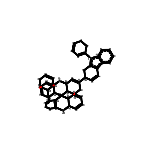 C1=CCCC(n2c3c(c4ccccc42)C=CC(C2=CC4SC5=CC=CCC5C5(C6=C(CCC=C6C6CC=CCC6)SC6C=CC=CC65)C4CC2)C3)=C1